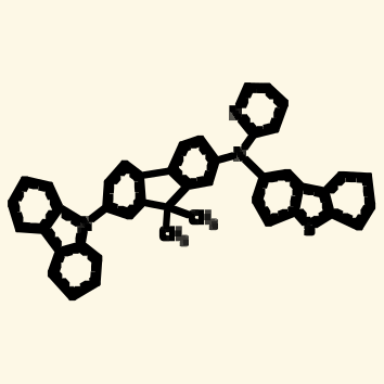 CC1(C)c2cc(N(c3ccc4sc5ccccc5c4c3)c3ccccn3)ccc2-c2ccc(-n3c4ccccc4c4ccccc43)cc21